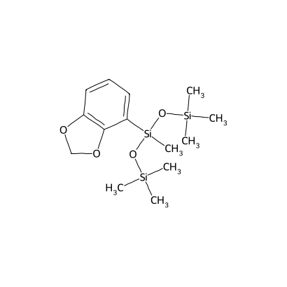 C[Si](C)(C)O[Si](C)(O[Si](C)(C)C)c1cccc2c1OCO2